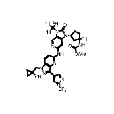 [2H]C1(NC(=O)OC)CC[C@@H](n2c(=O)n(C([2H])([2H])[2H])c3cnc(Nc4ccc5c(n4)c(-c4cnn(C(F)(F)F)c4)nn5CC4(C#N)CC4)cc32)C1